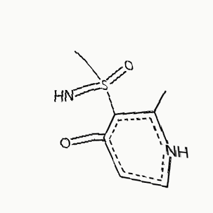 Cc1[nH]ccc(=O)c1S(C)(=N)=O